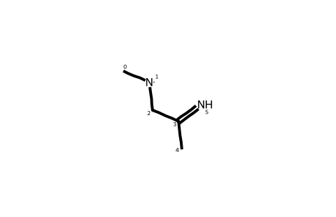 C[N]CC(C)=N